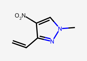 C=Cc1nn(C)cc1[N+](=O)[O-]